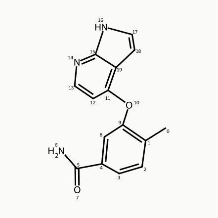 Cc1ccc(C(N)=O)cc1Oc1ccnc2[nH]ccc12